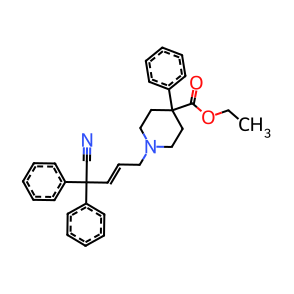 CCOC(=O)C1(c2ccccc2)CCN(CC=CC(C#N)(c2ccccc2)c2ccccc2)CC1